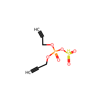 C#CCOP(=O)(OCC#C)O[SH](=O)=O